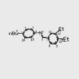 CCCCc1ccc(N=Cc2ccc(CC)c(CC)c2)cc1